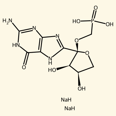 Nc1nc2nc([C@]3(OCP(=O)(O)O)OC[C@@H](O)[C@H]3O)[nH]c2c(=O)[nH]1.[NaH].[NaH]